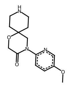 COc1ccc(N2CC3(CCNCC3)OCC2=O)nc1